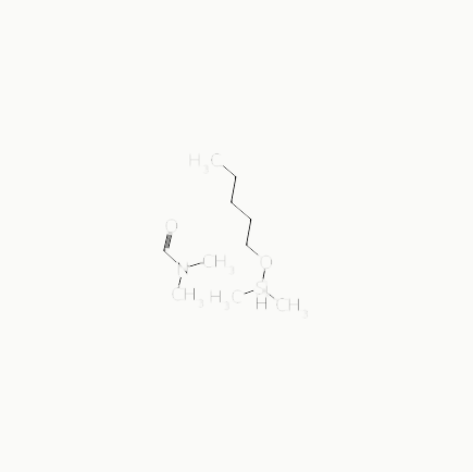 CCCCCO[SiH](C)C.CN(C)C=O